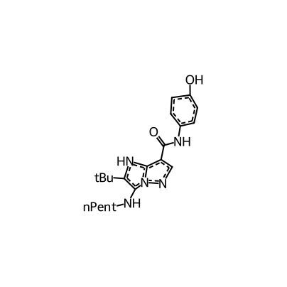 CCCCCNc1c(C(C)(C)C)[nH]c2c(C(=O)Nc3ccc(O)cc3)cnn12